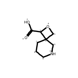 O=C(O)C1OCC12CCCNC2